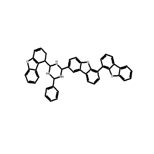 C1=Cc2oc3ccccc3c2C(C2NC(c3ccccc3)NC(c3ccc4oc5c(-c6cccc7c6oc6ccccc67)cccc5c4c3)N2)C1